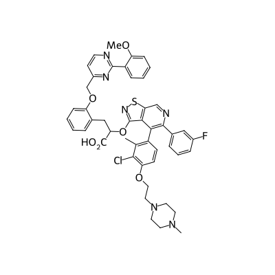 COc1ccccc1-c1nccc(COc2ccccc2CC(Oc2nsc3cnc(-c4cccc(F)c4)c(-c4ccc(OCCN5CCN(C)CC5)c(Cl)c4C)c23)C(=O)O)n1